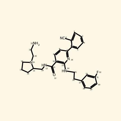 N#Cc1ccccc1-c1ccc(C(=O)NCC2CCCN2CCN)c(NCCc2cccc(F)c2)n1